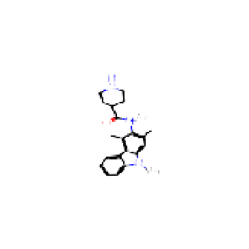 CC(=O)N(C(=O)C1CCNCC1)c1c(C)cc2c(c1C)c1ccccc1n2C(C)C